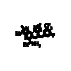 CCC(N)c1nc2c(cc1CN(Cc1cc(F)cc(C(F)(F)F)c1)c1nnn(C)n1)nc(C)n2CC